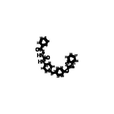 O=C(NSC(=O)c1ccccc1)NC1CCN(Cc2ccc(Oc3nc4ccccc4s3)cc2)CC1